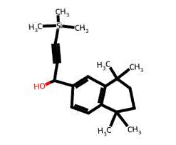 CC1(C)CCC(C)(C)c2cc(C(O)C#C[Si](C)(C)C)ccc21